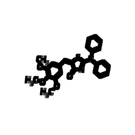 COc1cc(/C=C2/SC(N(c3ccccc3)c3ccccc3)=NC2=O)cc(OC)c1OC